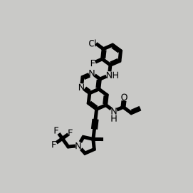 C=CC(=O)Nc1cc2c(Nc3cccc(Cl)c3F)ncnc2cc1C#CC1(C)CCN(CC(F)(F)F)C1